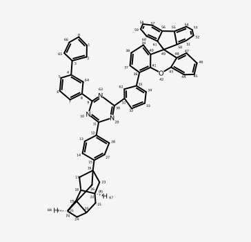 c1ccc(-c2cccc(-c3nc(-c4ccc(C56CC7C8C(C[C@@H]7C5)C[C@H]8C6)cc4)nc(-c4cccc(-c5cccc6c5Oc5ccccc5C65c6ccccc6-c6ccccc65)c4)n3)c2)cc1